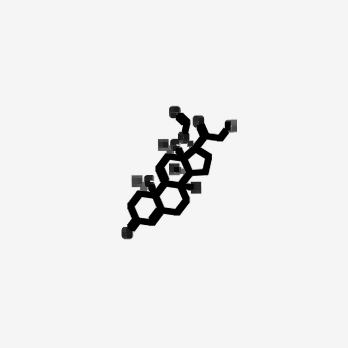 C[C@]12CCC(=O)C=C1CC[C@@H]1C2=CC[C@@]2(C)[C@H]1CC[C@]2(OC=O)C(=O)CCl